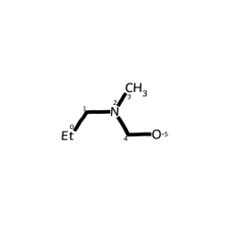 CCCN(C)C[O]